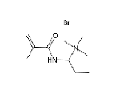 C=C(C)C(=O)NC(CC)[N+](C)(C)C.[Br-]